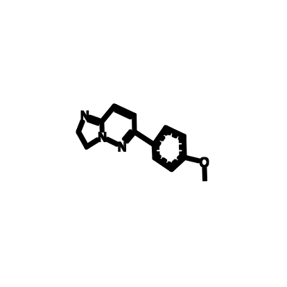 COc1ccc(C2=NN3CCN=C3C=C2)cc1